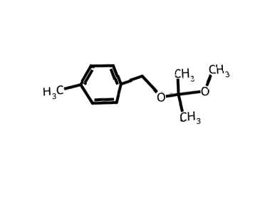 COC(C)(C)OCc1ccc(C)cc1